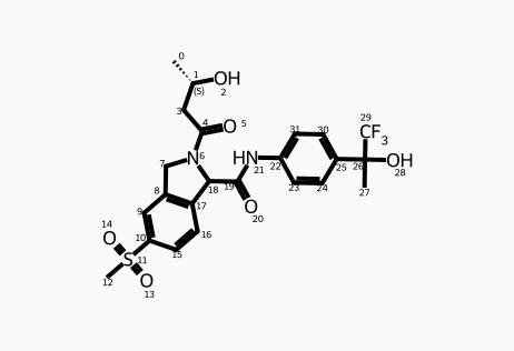 C[C@H](O)CC(=O)N1Cc2cc(S(C)(=O)=O)ccc2C1C(=O)Nc1ccc(C(C)(O)C(F)(F)F)cc1